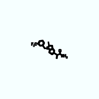 C=C(C(N)=O)c1ccc2c(c1)cc(C)n2Cc1cccc(C(F)(F)F)c1